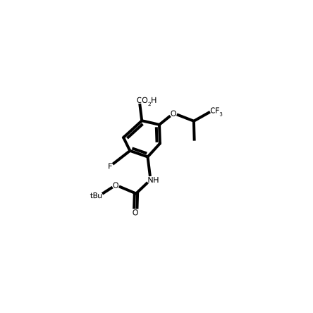 CC(Oc1cc(NC(=O)OC(C)(C)C)c(F)cc1C(=O)O)C(F)(F)F